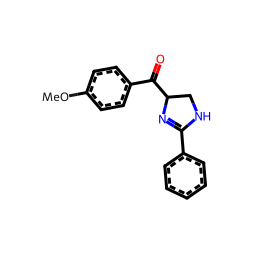 COc1ccc(C(=O)C2CNC(c3ccccc3)=N2)cc1